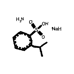 CC(C)c1ccccc1S(=O)(=O)O.N.[NaH]